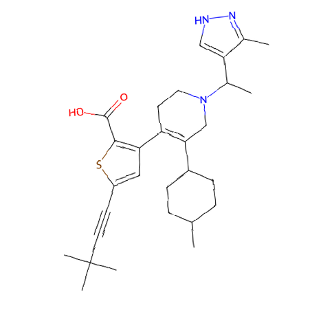 Cc1n[nH]cc1C(C)N1CCC(c2cc(C#CC(C)(C)C)sc2C(=O)O)=C(C2CCC(C)CC2)C1